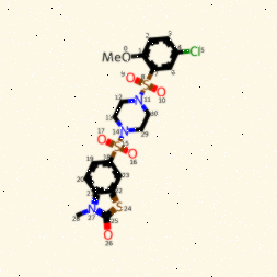 COc1ccc(Cl)cc1S(=O)(=O)N1CCN(S(=O)(=O)c2ccc3c(c2)sc(=O)n3C)CC1